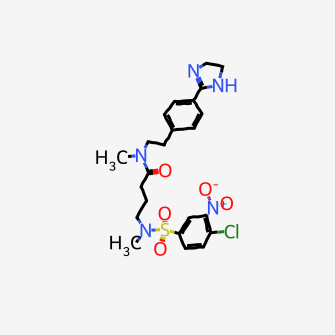 CN(CCc1ccc(C2=NCCN2)cc1)C(=O)CCCN(C)S(=O)(=O)c1ccc(Cl)c([N+](=O)[O-])c1